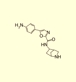 Nc1ccc(-c2cnc(C(=O)NC3CC4CC3CN4)o2)cc1